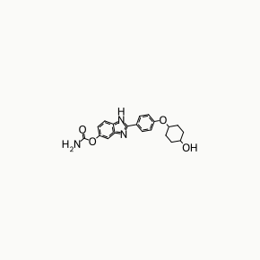 NC(=O)Oc1ccc2[nH]c(-c3ccc(OC4CCC(O)CC4)cc3)nc2c1